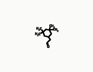 CC1(C)CC(CC=O)CC(C)(C)C1